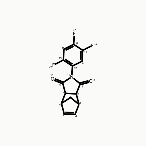 O=C1C2C3C=CC(C3)C2C(=O)N1c1cc(F)c(F)cc1F